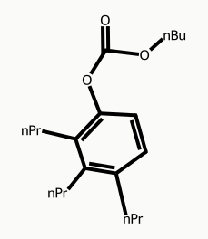 CCCCOC(=O)Oc1ccc(CCC)c(CCC)c1CCC